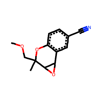 COCC1(C)Oc2ccc(C#N)cc2C2OC21